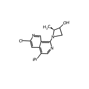 CC(C)c1cnc(N2CC(O)[C@@H]2C)c2cnc(Cl)cc12